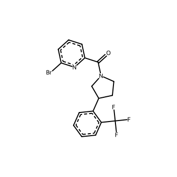 O=C(c1cccc(Br)n1)N1CCC(c2ccccc2C(F)(F)F)C1